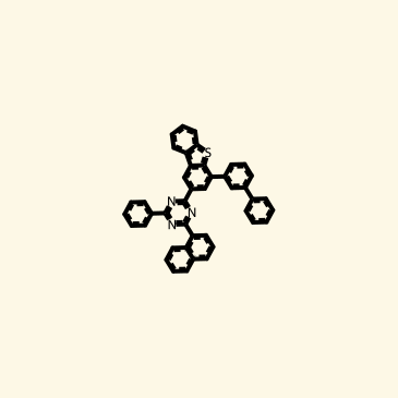 c1ccc(-c2cccc(-c3cc(-c4nc(-c5ccccc5)nc(-c5cccc6ccccc56)n4)cc4c3sc3ccccc34)c2)cc1